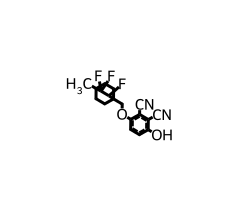 CC12CCC(COc3ccc(O)c(C#N)c3C#N)(CC1)C(F)C2(F)F